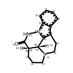 O=C1Nn2c3c(c4ccccc42)CCN2CCC[C@H]1[C@H]32